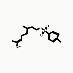 CCC/C(C)=C/CCC(C)CCOS(=O)(=O)c1ccc(C)cc1